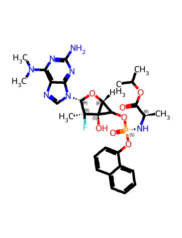 CC(C)OC(=O)[C@@H](C)N[P@@](=O)(Oc1cccc2ccccc12)OC1[C@H]2O[C@@H](n3cnc4c(N(C)C)nc(N)nc43)[C@](C)(F)[C@@]12O